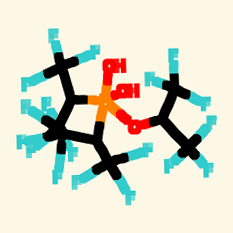 OP(O)(OC(C(F)(F)F)C(F)(F)F)(C(C(F)(F)F)C(F)(F)F)C(C(F)(F)F)C(F)(F)F